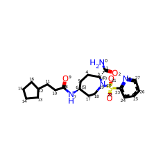 NC(=O)[C@H]1CC[C@H](NC(=O)[CH]CC2CCCC2)CCN1S(=O)(=O)c1ccccn1